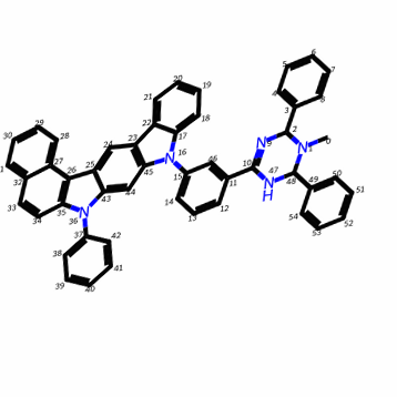 CN1C(c2ccccc2)N=C(c2cccc(-n3c4ccccc4c4cc5c6c7ccccc7ccc6n(-c6ccccc6)c5cc43)c2)NC1c1ccccc1